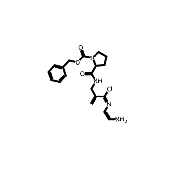 C=C(CNC(=O)C1CCCN1C(=O)OCc1ccccc1)/C(Cl)=N\C=C/N